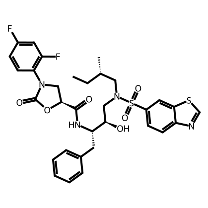 CC[C@H](C)CN(C[C@@H](O)[C@H](Cc1ccccc1)NC(=O)[C@@H]1CN(c2ccc(F)cc2F)C(=O)O1)S(=O)(=O)c1ccc2ncsc2c1